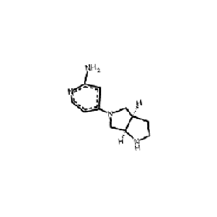 Nc1cc(N2C[C@H]3CCN[C@H]3C2)ccn1